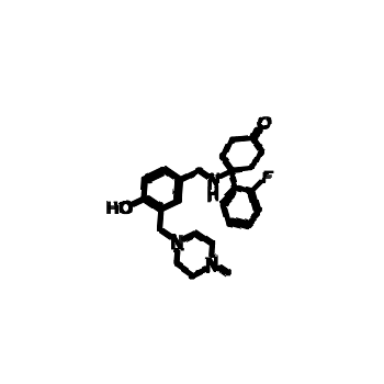 CN1CCN(Cc2cc(CNC3(c4ccccc4F)CCC(=O)CC3)ccc2O)CC1